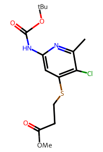 COC(=O)CCSc1cc(NC(=O)OC(C)(C)C)nc(C)c1Cl